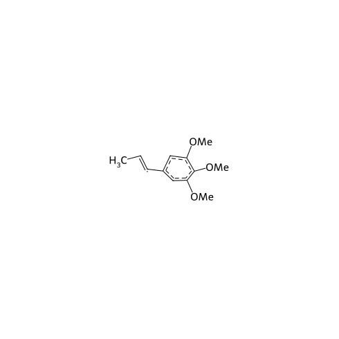 C/C=[C]/c1cc(OC)c(OC)c(OC)c1